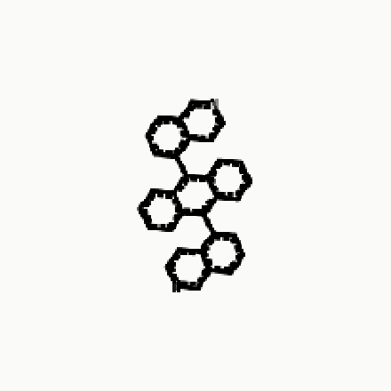 c1cc(-c2c3ccccc3c(-c3cccc4cnccc34)c3ccccc23)c2ccncc2c1